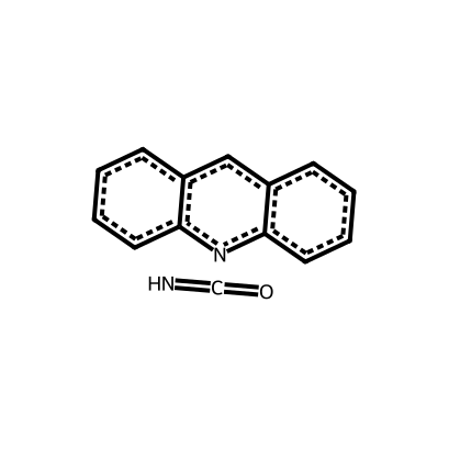 N=C=O.c1ccc2nc3ccccc3cc2c1